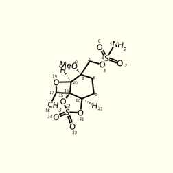 CO[C@]1(COS(N)(=O)=O)CC[C@H]2OS(=O)(=O)O[C@]23C(C)O[C@@H]13